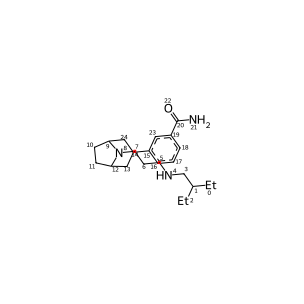 CCC(CC)CNCCCN1C2CCC1CC(c1cccc(C(N)=O)c1)C2